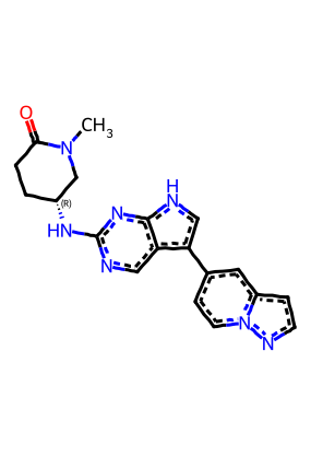 CN1C[C@H](Nc2ncc3c(-c4ccn5nccc5c4)c[nH]c3n2)CCC1=O